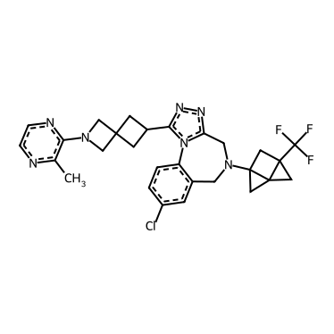 Cc1nccnc1N1CC2(CC(c3nnc4n3-c3ccc(Cl)cc3CN(C35CC6(C(F)(F)F)CC36C5)C4)C2)C1